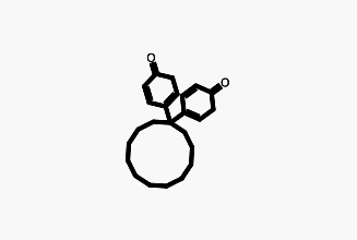 O=C1C=CC(C2(C3=CCC(=O)C=C3)CCCCCCCCCCC2)=CC1